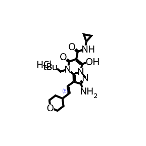 CC(C)(C)Cn1c(=O)c(C(=O)NC2CC2)c(O)n2nc(N)c(/C=C/C3CCOCC3)c12.Cl